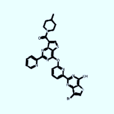 CC1CCN(C(=O)c2csc3c(Oc4cccc(-c5nc(O)c6scc(Br)c6n5)n4)nc(-c4ccccn4)nc23)CC1